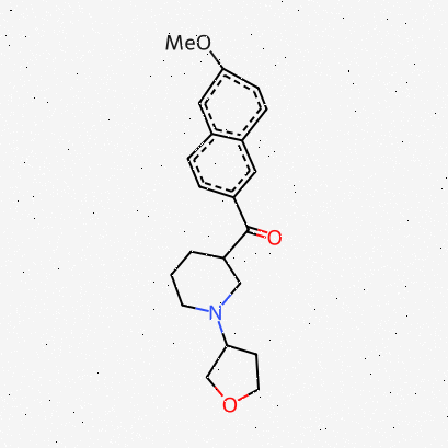 COc1ccc2cc(C(=O)C3CCCN(C4CCOC4)C3)ccc2c1